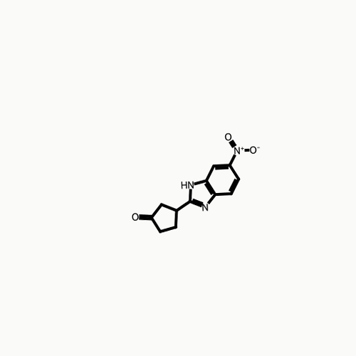 O=C1CCC(c2nc3ccc([N+](=O)[O-])cc3[nH]2)C1